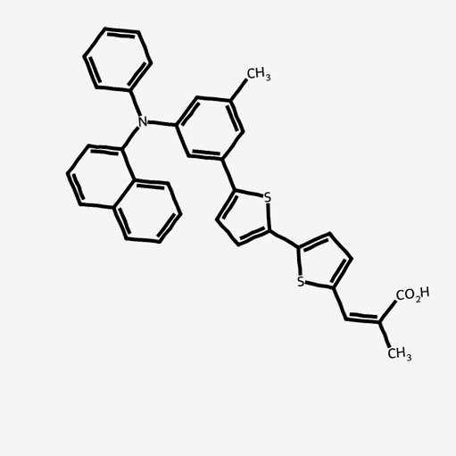 C/C(=C/c1ccc(-c2ccc(-c3cc(C)cc(N(c4ccccc4)c4cccc5ccccc45)c3)s2)s1)C(=O)O